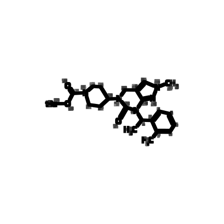 CC(c1ccccc1C(F)(F)F)N1C(=O)N(C2CCN(C(=O)OC(C)(C)C)CC2)Cc2cn(C)nc21